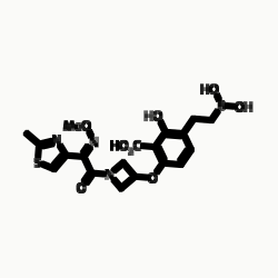 CON=C(C(=O)N1CC(Oc2ccc(CCB(O)O)c(O)c2C(=O)O)C1)c1csc(C)n1